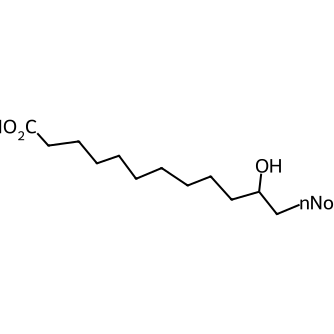 CCCCCCCCCCC(O)CCCCCCCCCC(=O)O